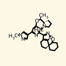 C[C@H](Oc1cc(-c2cnn(C)c2)nc(-c2noc3c2CCC[C@@]32CCCCC2=O)n1)[C@@H]1CCCN1C